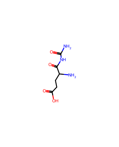 NC(=O)NC(=O)C(N)CCC(=O)O